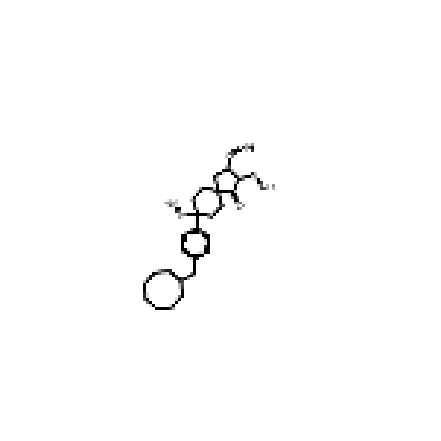 N=NC1CC2(CCC(N=N)(c3ccc(CC4CCCCCCC4)cc3)CC2)C(=O)C1N=N